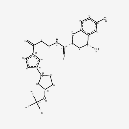 C=C(CCNC(=O)[C@H]1C[C@@H](O)c2cc(Cl)ccc2O1)n1cc(N2CCC(OC(F)(F)F)C2)cn1